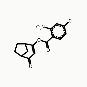 O=C(OC1=CC(=O)C2CCC1C2)c1ccc(Cl)cc1[N+](=O)[O-]